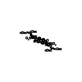 CCCCCCCCCCCCC(CCCCCCCCCC)COc1cc2nc3c4ccc5c6ccc7c(=O)n8c9cc([N+](=O)[O-])c(OCC(CCCCCCCCCC)CCCCCCCCCCCC)cc9nc8c8ccc(c9ccc(c(=O)n3c2cc1[N+](=O)[O-])c4c95)c6c78